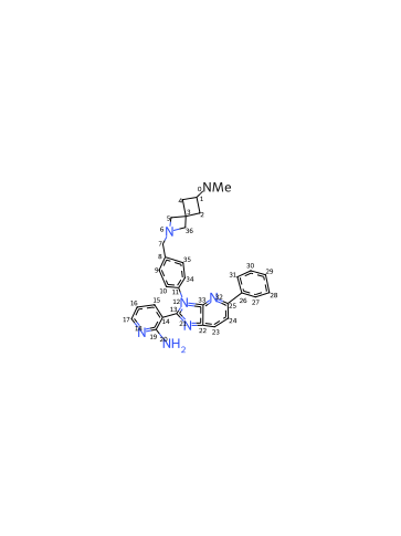 CNC1CC2(C1)CN(Cc1ccc(-n3c(-c4cccnc4N)nc4ccc(-c5ccccc5)nc43)cc1)C2